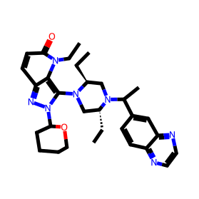 CC[C@H]1CN(C(C)c2ccc3nccnc3c2)[C@H](CC)CN1c1c2c(ccc(=O)n2CC)nn1C1CCCCO1